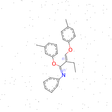 CCC(=C\Oc1ccc(C)cc1)/C(=N/c1ccccc1)Oc1cccc(C)c1